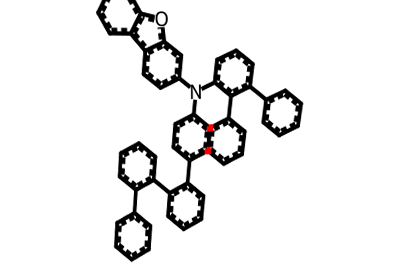 c1ccc(-c2ccccc2-c2ccccc2-c2ccc(N(c3ccc4c(c3)oc3ccccc34)c3cccc(-c4ccccc4)c3-c3ccccc3)cc2)cc1